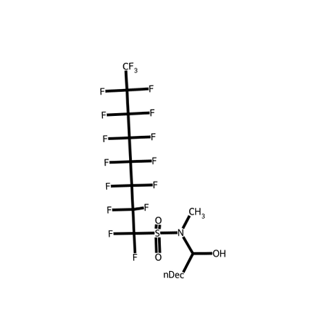 CCCCCCCCCCC(O)N(C)S(=O)(=O)C(F)(F)C(F)(F)C(F)(F)C(F)(F)C(F)(F)C(F)(F)C(F)(F)C(F)(F)F